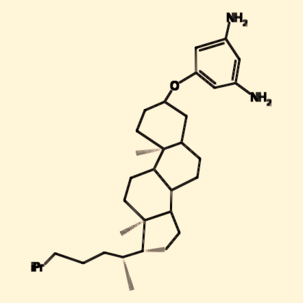 CC(C)CCC[C@@H](C)[C@H]1CCC2C3CCC4CC(Oc5cc(N)cc(N)c5)CC[C@]4(C)C3CC[C@@]21C